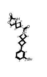 CC(C)(C)c1cccc(C2CC3(C2)CN(C(=O)[C@H]2C[C@]4(COC(=O)N4)C2)C3)c1